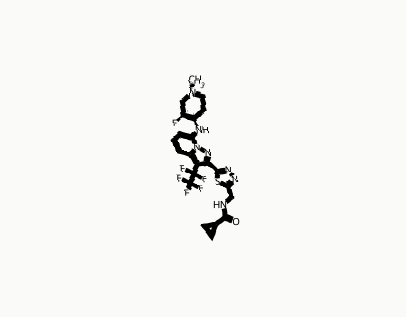 CN1CC[C@@H](Nc2cccc3c(C(F)(F)C(F)(F)F)c(-c4nnc(CNC(=O)C5CC5)s4)nn23)[C@@H](F)C1